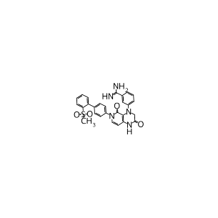 CS(=O)(=O)c1ccccc1-c1ccc(-n2ccc3c(c2=O)N(c2cccc(C(=N)N)c2)CC(=O)N3)cc1